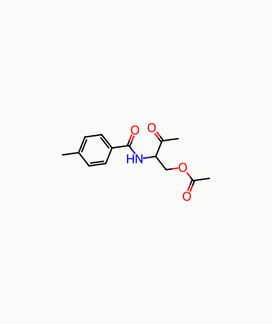 CC(=O)OCC(NC(=O)c1ccc(C)cc1)C(C)=O